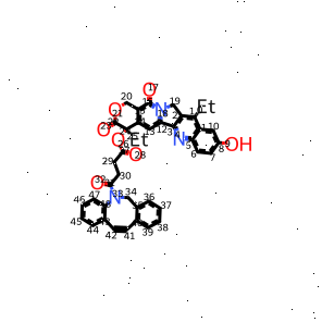 CCc1c2c(nc3ccc(O)cc13)-c1cc3c(c(=O)n1C2)COC(=O)[C@@]3(CC)OC(=O)CCC(=O)N1Cc2ccccc2C#Cc2ccccc21